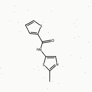 Cc1ncc(NC(=O)c2cccs2)s1